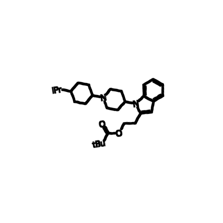 CC(C)C1CCC(N2CCC(n3c(CCOC(=O)C(C)(C)C)cc4ccccc43)CC2)CC1